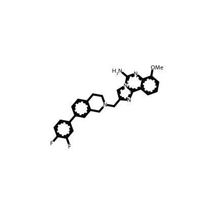 COc1cccc2c1nc(N)n1cc(CN3CCc4ccc(-c5ccc(F)c(F)c5)cc4C3)nc21